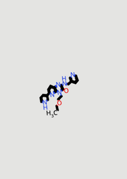 CCCOCCn1c(=O)c(NCc2cccnc2)nc2ccc(C3=CC=CNC3)nc21